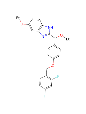 CCOc1ccc2[nH]c(C(OCC)c3ccc(OCc4ccc(F)cc4F)cc3)nc2c1